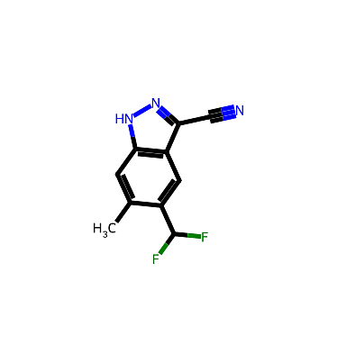 Cc1cc2[nH]nc(C#N)c2cc1C(F)F